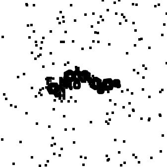 COc1ccc(P2(=O)CCN(C/C=C\c3[nH]c(=O)c4c(ccc5nc(Nc6cc(F)ccc6C)n(C)c54)c3C)CC2)cc1